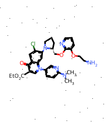 CCOC(=O)c1cn(-c2ccc(N(C)C)nc2)c2cc(N3CCC[C@@H]3COc3ncccc3OCCN)c(Cl)cc2c1=O